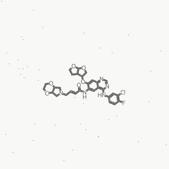 O=C(/C=C/CN1CC2OCCOC2C1)Nc1cc2c(Nc3ccc(F)c(Cl)c3)ncnc2cc1OC1COC2OCCC12